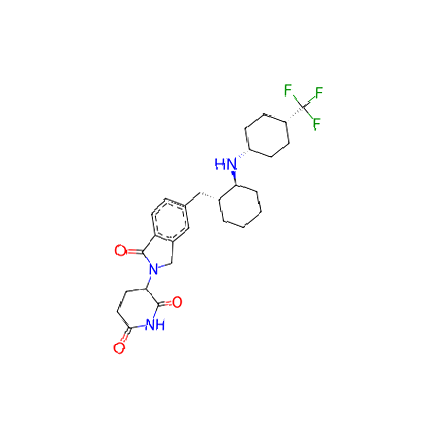 O=C1CCC(N2Cc3cc(C[C@H]4CCCC[C@@H]4N[C@H]4CC[C@@H](C(F)(F)F)CC4)ccc3C2=O)C(=O)N1